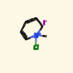 C[N+]1(Cl)C=CC=CC1.[I-]